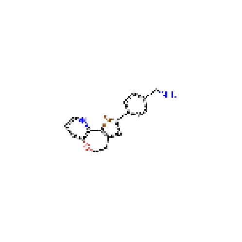 NCc1ccc(-c2cc3c(s2)-c2ncccc2OCC3)cc1